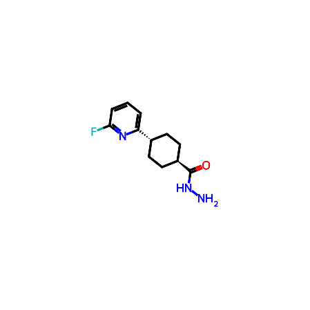 NNC(=O)[C@H]1CC[C@H](c2cccc(F)n2)CC1